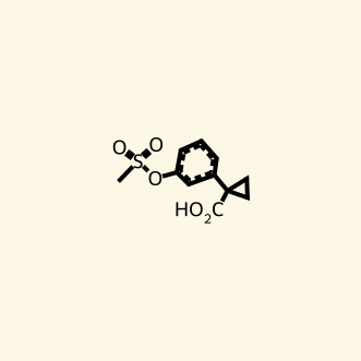 CS(=O)(=O)Oc1cccc(C2(C(=O)O)CC2)c1